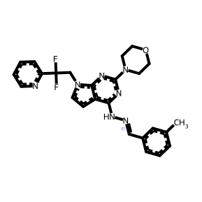 Cc1cccc(/C=N/Nc2nc(N3CCOCC3)nc3c2ccn3CC(F)(F)c2ccccn2)c1